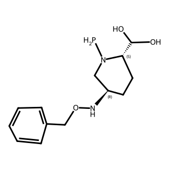 OC(O)[C@@H]1CC[C@@H](NOCc2ccccc2)CN1P